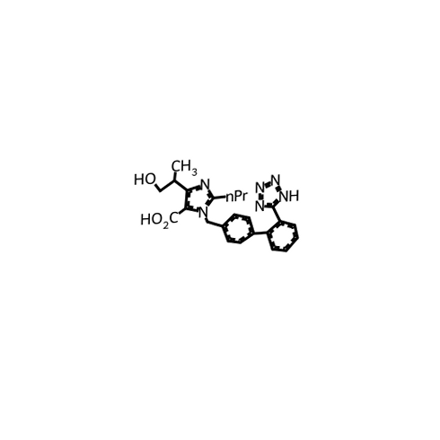 CCCc1nc(C(C)CO)c(C(=O)O)n1Cc1ccc(-c2ccccc2-c2nnn[nH]2)cc1